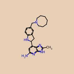 Cc1nc2c(C3Cc4cc(CN5CCCCCCC5)ccc4N3)cc(N)nc2[nH]1